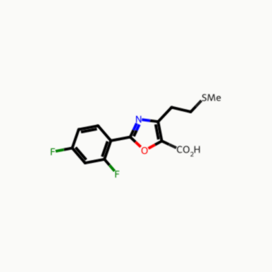 CSCCc1nc(-c2ccc(F)cc2F)oc1C(=O)O